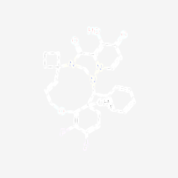 CC12CC=C(F)C(F)=C1OC/C=C/C1(CCC1)N1CN([C@@H]2c2ccccc2)n2ccc(=O)c(O)c2C1=O